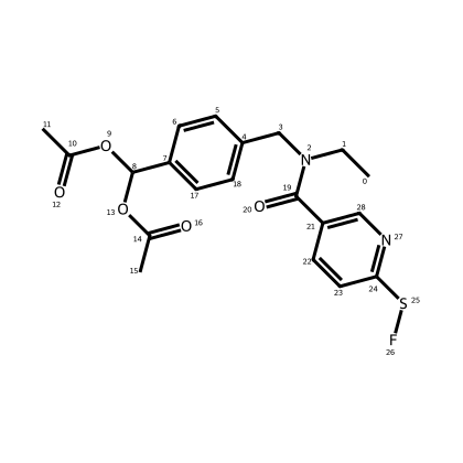 CCN(Cc1ccc(C(OC(C)=O)OC(C)=O)cc1)C(=O)c1ccc(SF)nc1